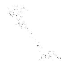 Cc1sc2c(c1C)C(c1ccc(Cl)cc1)=N[C@@H](CC(=O)Nc1ccc(OCCOCCOCCOCCCc3cccc4c3C(=O)N(C3CCC(=O)NC3=O)C4=O)cc1)c1nnc(C)n1-2